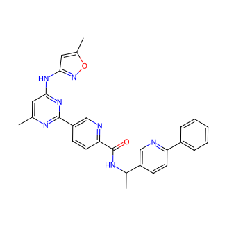 Cc1cc(Nc2cc(C)on2)nc(-c2ccc(C(=O)NC(C)c3ccc(-c4ccccc4)nc3)nc2)n1